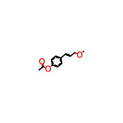 COCC=Cc1ccc(OC(C)=O)cc1